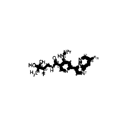 CC(C)Nc1cc(-c2cnc3cc(F)cnn23)ncc1C(=O)NC[C@H](F)C(C)(C)O